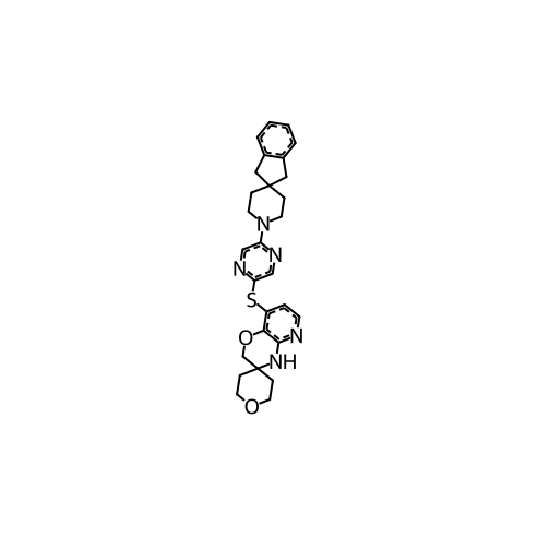 c1ccc2c(c1)CC1(CCN(c3cnc(Sc4ccnc5c4OCC4(CCOCC4)N5)cn3)CC1)C2